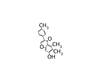 Cc1ccc(-c2coc3cc(O)c(C)c(C)c3c2=O)cc1